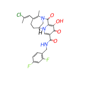 CC1=C(/C=C(\C)Cl)CC[C@@H]2CN1C(=O)c1c(O)c(=O)c(C(=O)NCc3ccc(F)cc3F)cn12